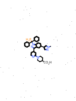 Cn1cc(-c2ccc3c(c2)c(-c2ccnc(N4CCC(C(=O)O)CC4)c2)nn3C(P)(c2ccccc2)c2ccccc2)cn1